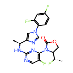 C[C@H](Nc1ncc(F)c(N2C(=O)OCC2[C@H](C)F)n1)c1cn(-c2ccc(F)cc2F)cn1